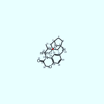 CCCCCC1CC2CC[C@H](C1)N2CC(C)CN1C(=O)COc2ccc(F)cc21